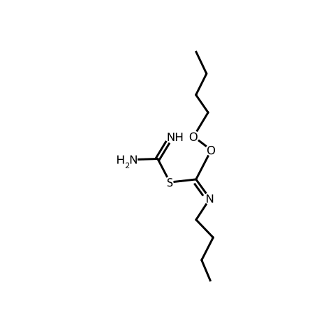 CCCCN=C(OOCCCC)SC(=N)N